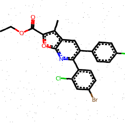 CCOC(=O)c1oc2nc(-c3ccc(Br)cc3Cl)c(-c3ccc(Cl)cc3)cc2c1C